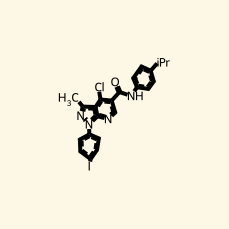 Cc1nn(-c2ccc(I)cc2)c2ncc(C(=O)Nc3ccc(C(C)C)cc3)c(Cl)c12